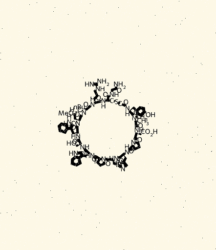 CCCC[C@H]1C(=O)N[C@@H](CCCNC(=N)N)C(=O)NC(C(=O)NCC(N)=O)CSCC(=O)N[C@@H](Cc2ccc(O)cc2)C(=O)N(C)[C@@H](C)C(=O)N[C@@H](CC(=O)O)C(=O)N2CCC[C@H]2C(=O)N[C@@H](Cc2cnc[nH]2)C(=O)N[C@@H](CC(C)C)C(=O)N2CCC[C@H]2C(=O)N[C@@H](Cc2c[nH]c3ccccc23)C(=O)N[C@@H](CO)C(=O)N[C@@H](Cc2c[nH]c3ccccc23)C(=O)N(C)[C@@H](CCOC)C(=O)N1C